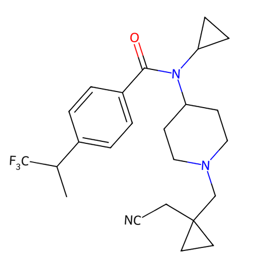 CC(c1ccc(C(=O)N(C2CC2)C2CCN(CC3(CC#N)CC3)CC2)cc1)C(F)(F)F